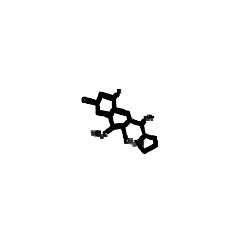 CCCC([C@H]1CCCN1)n1cc2c(F)cc(=O)cc-2c(C(=O)O)c1C